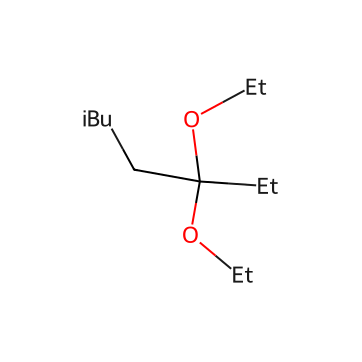 CCOC(CC)(CC(C)CC)OCC